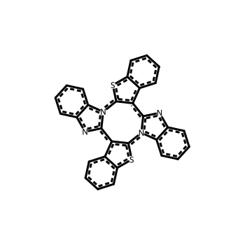 c1ccc2c(c1)nc1c3c4ccccc4sc3n3c4ccccc4nc3c3c4ccccc4sc3n21